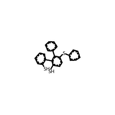 Sc1ccccc1-c1c(S)ccc(Sc2ccccc2)c1-c1ccccc1